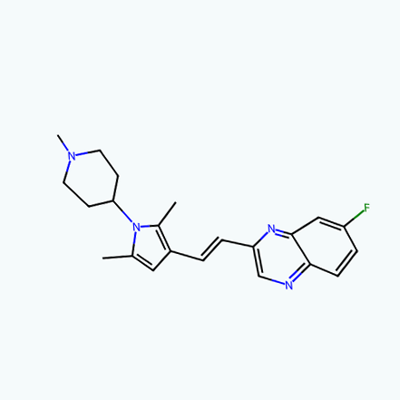 Cc1cc(/C=C/c2cnc3ccc(F)cc3n2)c(C)n1C1CCN(C)CC1